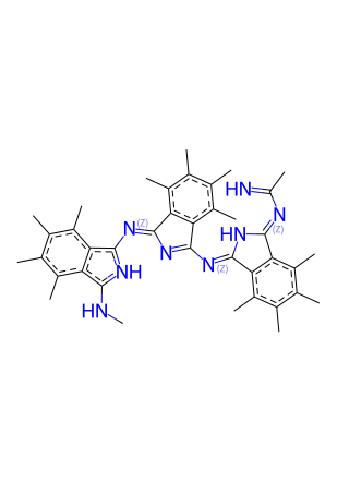 CNc1[nH]c(/N=C2N=C(/N=C3\N/C(=N\C(C)=N)c4c(C)c(C)c(C)c(C)c43)c3c(C)c(C)c(C)c(C)c3\2)c2c(C)c(C)c(C)c(C)c12